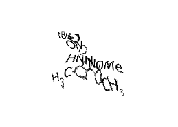 COc1cc(C)ccc1-c1nnc(N[C@@H]2CCCN(C(=O)OC(C)(C)C)C2)c2cc(C)ccc12